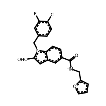 O=Cc1cc2cc(C(=O)NCc3ccco3)ccc2n1Cc1ccc(Cl)c(F)c1